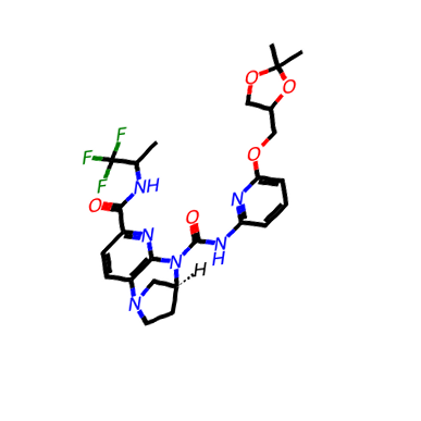 CC(NC(=O)c1ccc2c(n1)N(C(=O)Nc1cccc(OCC3COC(C)(C)O3)n1)[C@H]1CCN2C1)C(F)(F)F